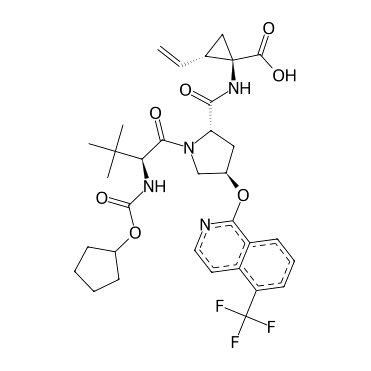 C=C[C@@H]1C[C@]1(NC(=O)[C@@H]1C[C@@H](Oc2nccc3c(C(F)(F)F)cccc23)CN1C(=O)[C@@H](NC(=O)OC1CCCC1)C(C)(C)C)C(=O)O